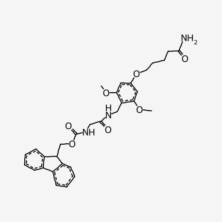 COc1cc(OCCCCC(N)=O)cc(OC)c1CNC(=O)CNC(=O)OCC1c2ccccc2-c2ccccc21